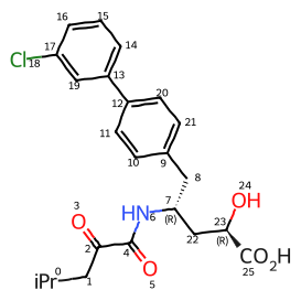 CC(C)CC(=O)C(=O)N[C@H](Cc1ccc(-c2cccc(Cl)c2)cc1)C[C@@H](O)C(=O)O